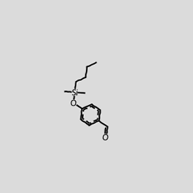 CCCC[Si](C)(C)Oc1ccc(C=O)cc1